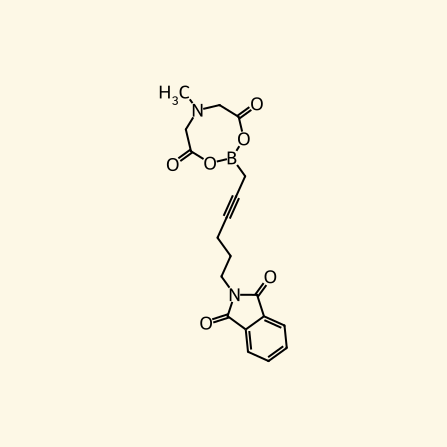 CN1CC(=O)OB(CC#CCCCN2C(=O)c3ccccc3C2=O)OC(=O)C1